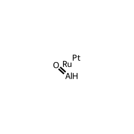 [O]=[AlH].[Pt].[Ru]